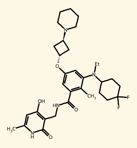 CCN(c1cc(O[C@H]2C[C@H](N3CCCCC3)C2)cc(C(=O)NCc2c(O)cc(C)[nH]c2=O)c1C)C1CCC(F)(F)CC1